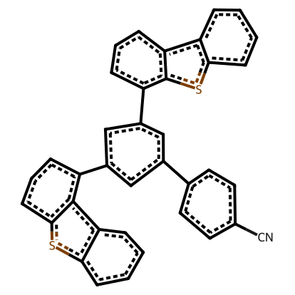 N#Cc1ccc(-c2cc(-c3cccc4c3sc3ccccc34)cc(-c3cccc4sc5ccccc5c34)c2)cc1